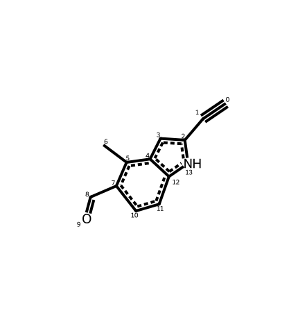 C#Cc1cc2c(C)c(C=O)ccc2[nH]1